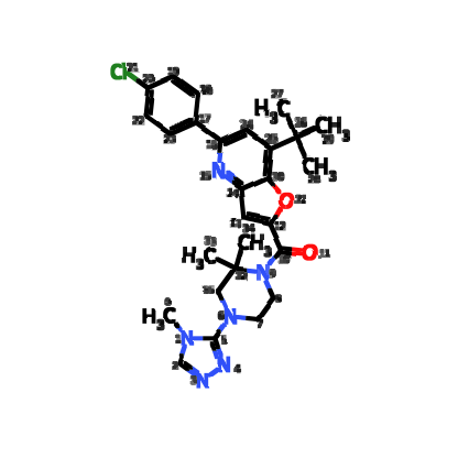 Cn1cnnc1N1CCN(C(=O)c2cc3nc(-c4ccc(Cl)cc4)cc(C(C)(C)C)c3o2)C(C)(C)C1